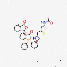 CC(=O)N/C=C/C(=S)CC1CC(=O)N1C(C(=O)OC1OC(=O)c2ccccc21)=P(c1ccccc1)(c1ccccc1)c1ccccc1